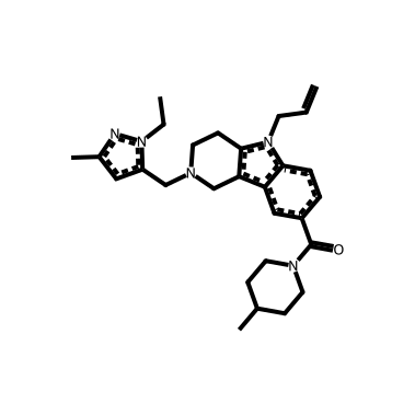 C=CCn1c2c(c3cc(C(=O)N4CCC(C)CC4)ccc31)CN(Cc1cc(C)nn1CC)CC2